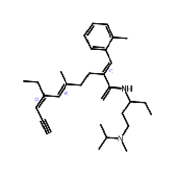 C#C/C=C(\C=C(/C)CC/C(=C\c1ccccc1C)C(=C)NC(CC)CCN(C)C(C)C)CC